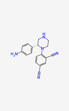 N#Cc1ccc(N2CCNC[C@H]2c2ccc(N)cc2)c(C#N)c1